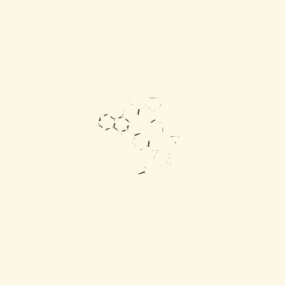 CCOC(=O)N1CCN(C(=O)[C@H](CCC(=O)OC(C)(C)C)NC(=O)c2cc(O[C@H](C)C(=O)N3CCC[C@H]3C(=O)NCC3CC3)c3ccc(C)cc3n2)CC1